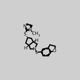 Cn1ccnc1S[C@@H]1C[C@@H]2CN(Sc3ccc4c(c3)CCO4)C[C@@H]2C1